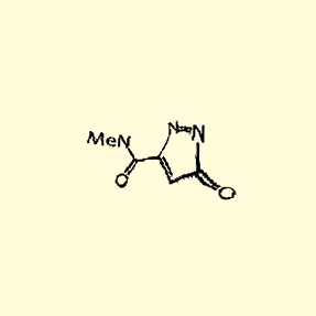 CNC(=O)C1=CC(=O)N=N1